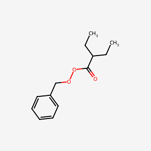 CCC(CC)C(=O)OOCc1ccccc1